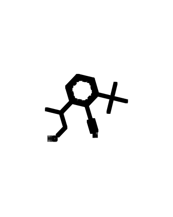 C[C](CO)c1cccc(C(C)(C)C)c1C#N